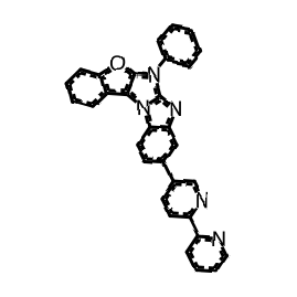 c1ccc(-n2c3oc4ccccc4c3n3c4ccc(-c5ccc(-c6ccccn6)nc5)cc4nc23)cc1